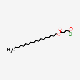 CCCCCCCCCCCCCCCCCCOC(=O)CCC(=O)Cl